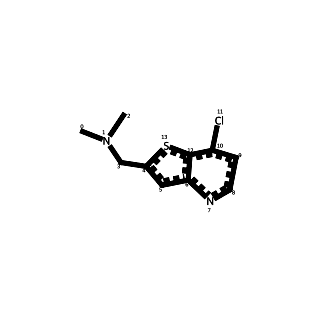 CN(C)Cc1cc2nccc(Cl)c2s1